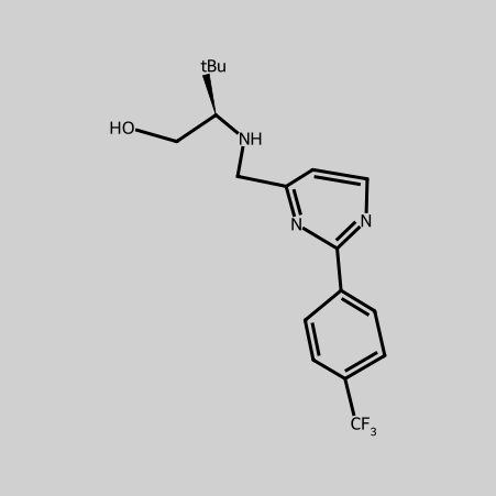 CC(C)(C)[C@H](CO)NCc1ccnc(-c2ccc(C(F)(F)F)cc2)n1